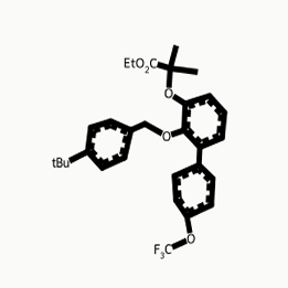 CCOC(=O)C(C)(C)Oc1cccc(-c2ccc(OC(F)(F)F)cc2)c1OCc1ccc(C(C)(C)C)cc1